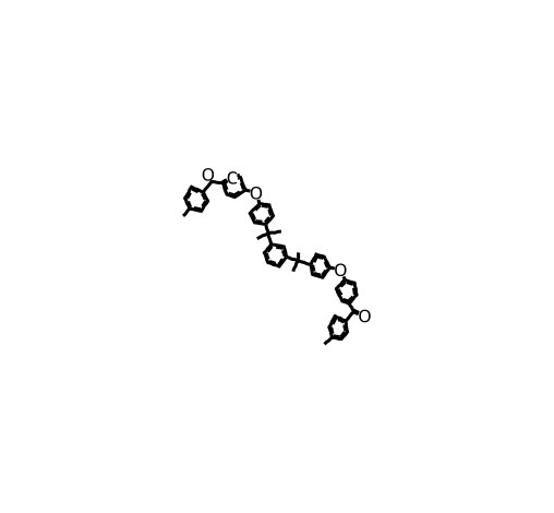 Cc1ccc(C(=O)c2ccc(Oc3ccc(C(C)(C)c4cccc(C(C)(C)c5ccc(Oc6ccc(C(=O)c7ccc(C)cc7)cc6)cc5)c4)cc3)cc2)cc1